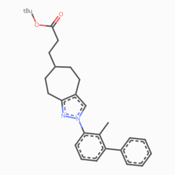 Cc1c(-c2ccccc2)cccc1-n1cc2c(n1)CCC(CCC(=O)OC(C)(C)C)CC2